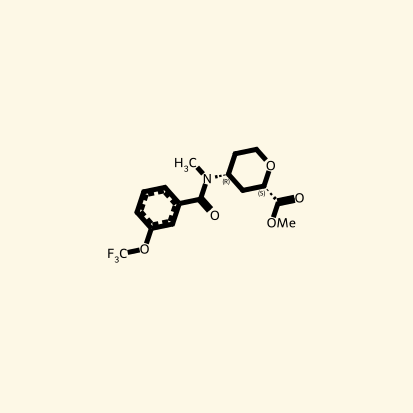 COC(=O)[C@@H]1C[C@H](N(C)C(=O)c2cccc(OC(F)(F)F)c2)CCO1